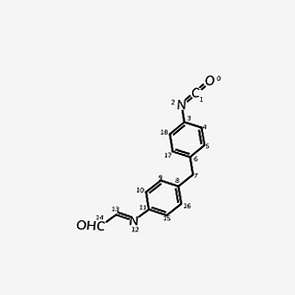 O=C=Nc1ccc(Cc2ccc(N=CC=O)cc2)cc1